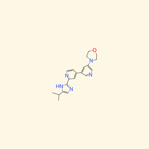 CC(C)c1cnc(-c2cc(-c3cncc(N4CCOCC4)c3)ccn2)[nH]1